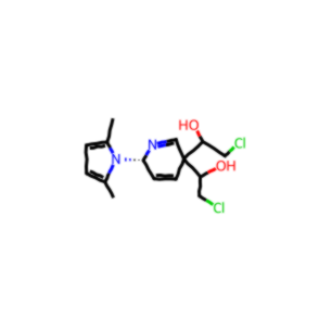 Cc1ccc(C)n1[C@H]1C=CC(C(O)CCl)(C(O)CCl)C=N1